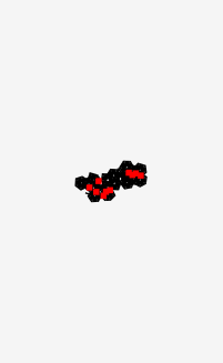 C[Si]1(C)c2ccccc2-c2cccc(N(c3ccccc3-c3ccccc3)c3ccc4ccc5c(N(c6cccc7c6[Si](C)(C)c6ccccc6-7)c6cccc7c6oc6ccccc67)ccc6ccc3c4c65)c21